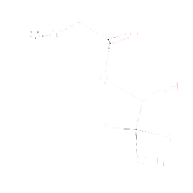 COCC(=O)OC(O)C(F)(F)S(=O)(=O)O